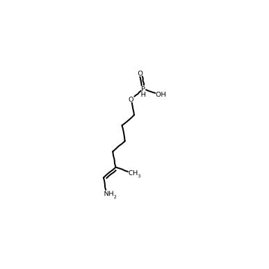 C/C(=C\N)CCCCO[PH](=O)O